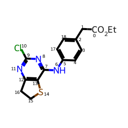 CCOC(=O)Cc1ccc(Nc2nc(Cl)nc3c2SCC3)cc1